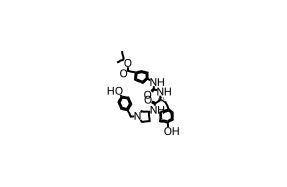 CC(C)OC(=O)c1ccc(NC(=O)N[C@@H](Cc2ccc(O)cc2)C(=O)NC2CCN(Cc3ccc(O)cc3)C2)cc1